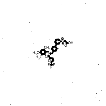 Cc1cc(C)c(CN(Cc2ccc(-c3cccc(S(=O)(=O)CC(=O)O)c3)cc2)Cc2ccc(C(F)(F)F)o2)c(C)c1C